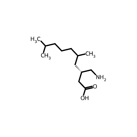 CC(C)CCCC(C)C[C@H](CN)CC(=O)O